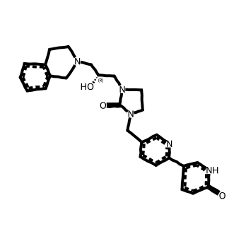 O=C1N(Cc2ccc(-c3ccc(=O)[nH]c3)nc2)CCN1C[C@H](O)CN1CCc2ccccc2C1